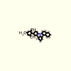 Cc1cc(C)c(-c2ccc3c(c2)c2cccc4c5c6ccccc6ccc5n3c24)c(C)c1